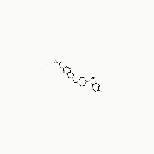 Cc1ccc2c(c1)ncn2C1CCN(CC2Cc3ccc(NC(=O)C(C)C)cc3C2)CC1